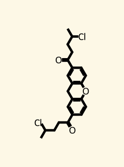 CC(Cl)CCC(=O)c1ccc2c(c1)Cc1cc(C(=O)CCC(C)Cl)ccc1O2